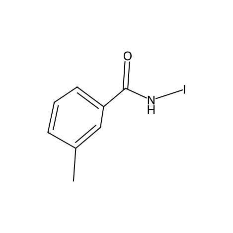 Cc1cccc(C(=O)NI)c1